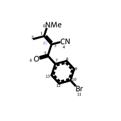 CN/C(C)=C(\C#N)C(=O)c1ccc(Br)cc1